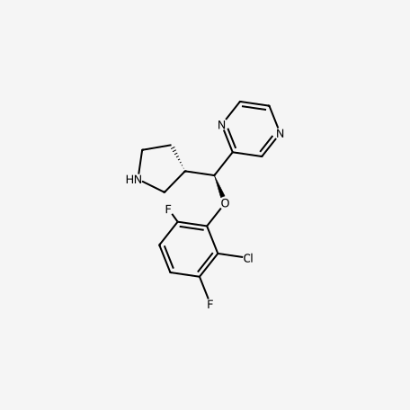 Fc1ccc(F)c(O[C@H](c2cnccn2)[C@H]2CCNC2)c1Cl